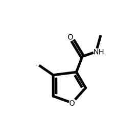 [CH2]c1cocc1C(=O)NC